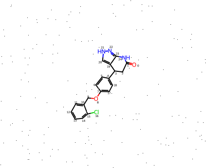 O=C1CC(c2ccc(OCc3ccccc3Cl)cc2)c2c[nH]nc2N1